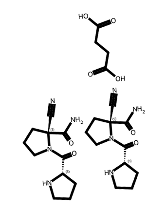 N#C[C@]1(C(N)=O)CCCN1C(=O)[C@@H]1CCCN1.N#C[C@]1(C(N)=O)CCCN1C(=O)[C@@H]1CCCN1.O=C(O)CCC(=O)O